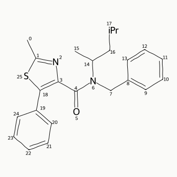 Cc1nc(C(=O)N(Cc2ccccc2)C(C)CC(C)C)c(-c2ccccc2)s1